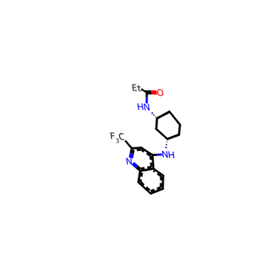 CCC(=O)N[C@@H]1CCC[C@H](Nc2cc(C(F)(F)F)nc3ccccc23)C1